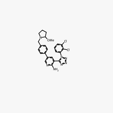 COC1CCCN1Cc1ccc(-c2cnc(N)c(-c3nnnn3-c3cccc(Cl)c3Cl)c2)cc1